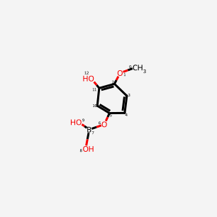 COc1ccc(OB(O)O)cc1O